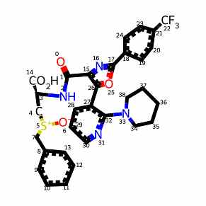 O=C(N[C@@H](C[S+]([O-])Cc1ccccc1)C(=O)O)c1nc(-c2ccc(C(F)(F)F)cc2)oc1-c1cccnc1N1CCCCC1